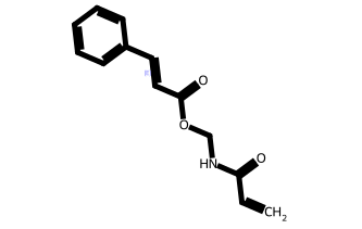 C=CC(=O)NCOC(=O)/C=C/c1ccccc1